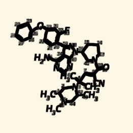 C[C@@H]1CN(C(C)(C)C=C(C#N)C(=O)N2CCC[C@H](n3nc(-c4ccc(Oc5ccccc5)cc4F)c4c(N)ncnc43)C2)[C@@H](C)CN1C